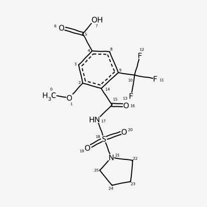 COc1cc(C(=O)O)cc(C(F)(F)F)c1C(=O)NS(=O)(=O)N1CCCC1